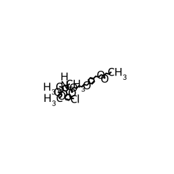 CCCC(=O)OCCc1ccc(OCCCCOC(=O)C2=C(C)NC(C)=C(C(=O)OC)C2c2cccc(Cl)c2)cc1